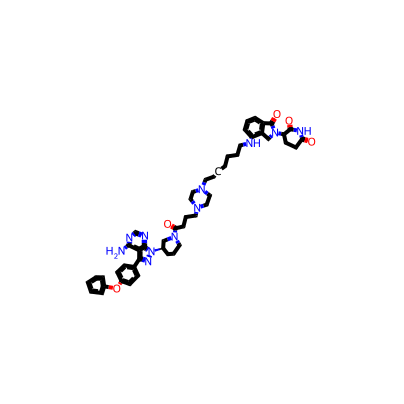 Nc1ncnc2c1c(-c1ccc(Oc3ccccc3)cc1)nn2[C@@H]1CCCN(C(=O)CCCN2CCN(CCCCCCCNc3cccc4c3CN(C3CCC(=O)NC3=O)C4=O)CC2)C1